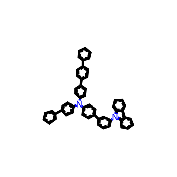 c1ccc(-c2ccc(-c3ccc(N(c4ccc(-c5ccccc5)cc4)c4ccc(-c5cccc(-n6c7ccccc7c7ccccc76)c5)cc4)cc3)cc2)cc1